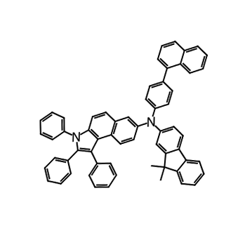 CC1(C)c2ccccc2-c2ccc(N(c3ccc(-c4cccc5ccccc45)cc3)c3ccc4c(ccc5c4c(-c4ccccc4)c(-c4ccccc4)n5-c4ccccc4)c3)cc21